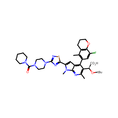 Cc1nc2c(cc(-c3nc(N4CCN(C(=O)N5CCCCC5)CC4)ns3)n2C)c(-c2cc(F)c3c(c2C)CCCO3)c1[C@H](OC(C)(C)C)C(=O)O